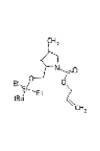 C=CCOC(=O)N1CC(=C)CC1CO[Si](CC)(CC)C(C)(C)C